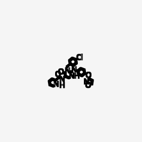 O=C(Nc1c[nH]/c(=N\c2ccc(Oc3ccon3)cc2)n(Cc2ccc(Cl)cc2)c1=O)c1ccccn1